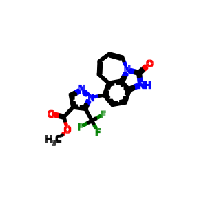 COC(=O)c1cnn(-c2ccc3[nH]c(=O)n4c3c2C=CC=C4)c1C(F)(F)F